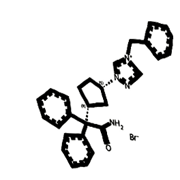 NC(=O)C(c1ccccc1)(c1ccccc1)[C@@H]1CC[C@H](n2c[n+](Cc3ccccc3)cn2)C1.[Br-]